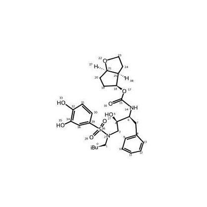 CC[C@H](C)CN(C[C@@H](O)[C@H](Cc1ccccc1)NC(=O)O[C@H]1CC[C@H]2OCC[C@@H]12)S(=O)(=O)c1ccc(O)c(O)c1